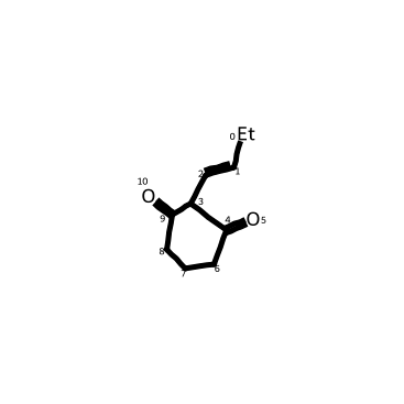 CCC=CC1C(=O)CCCC1=O